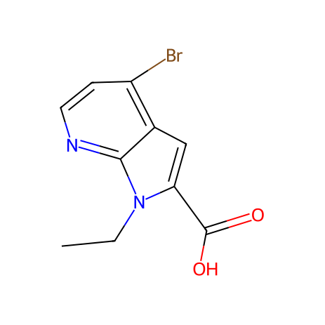 CCn1c(C(=O)O)cc2c(Br)ccnc21